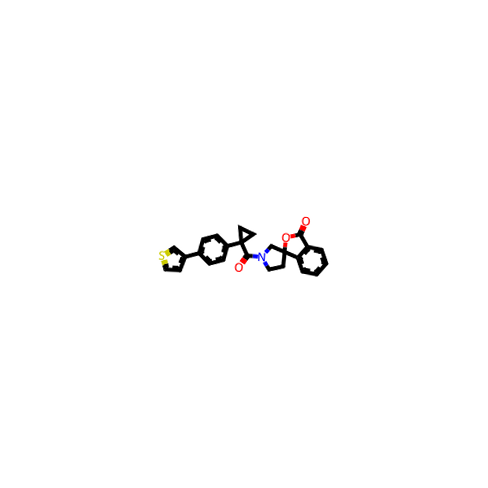 O=C1OC2(CCN(C(=O)C3(c4ccc(-c5ccsc5)cc4)CC3)C2)c2ccccc21